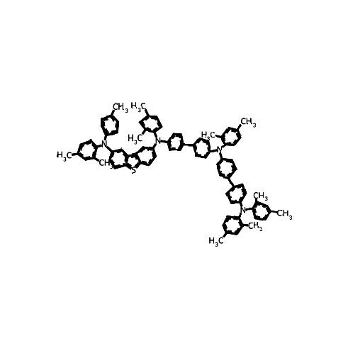 Cc1ccc(N(c2ccc3sc4ccc(N(c5ccc(-c6ccc(N(c7ccc(-c8ccc(N(c9ccc(C)cc9C)c9ccc(C)cc9C)cc8)cc7)c7ccc(C)cc7C)cc6)cc5)c5ccc(C)cc5C)cc4c3c2)c2ccc(C)cc2C)cc1